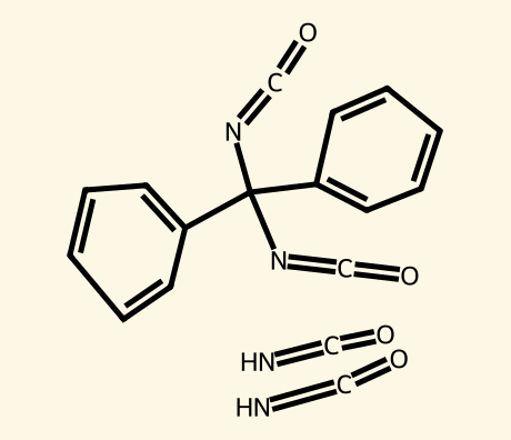 N=C=O.N=C=O.O=C=NC(N=C=O)(c1ccccc1)c1ccccc1